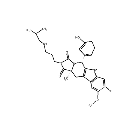 COc1cc2c3c([nH]c2cc1F)[C@@H](C1=CCCC(O)=C1)N1C(=O)N(CCCNCC(C)C)C(=O)[C@]1(C)C3